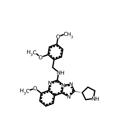 COc1ccc(CNc2nc3c(OC)cccc3c3nc([C@@H]4CCNC4)nn23)c(OC)c1